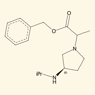 CC(C)N[C@@H]1CCN(C(C)C(=O)OCc2ccccc2)C1